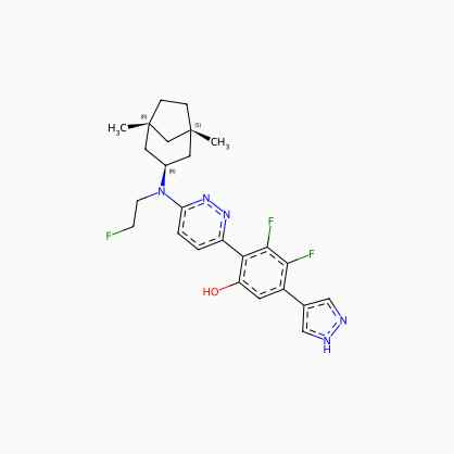 C[C@]12CC[C@](C)(C[C@@H](N(CCF)c3ccc(-c4c(O)cc(-c5cn[nH]c5)c(F)c4F)nn3)C1)C2